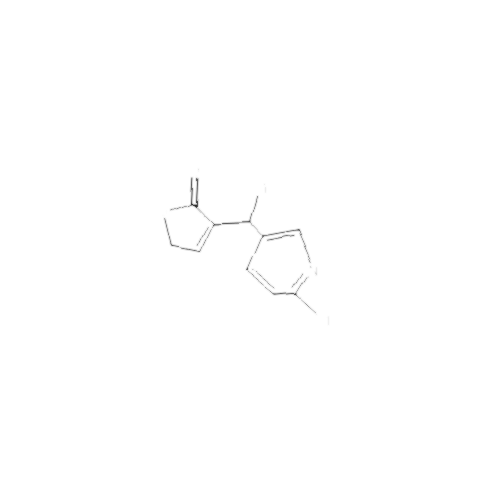 CC(C1=CCOC1=O)c1ccc(Cl)nc1